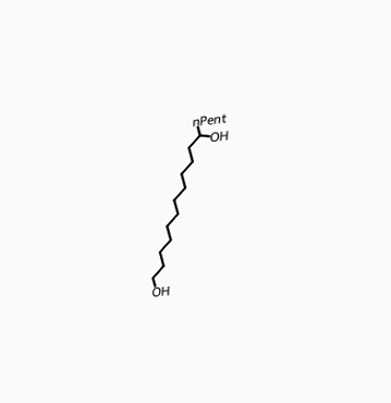 CCCCCC(O)CCCCCCCCCCCO